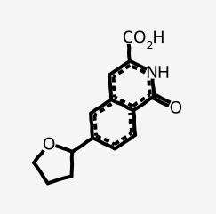 O=C(O)c1cc2cc(C3CCCO3)ccc2c(=O)[nH]1